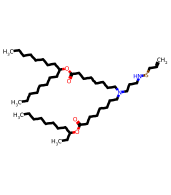 C=CCSNCCCN(CCCCCCCC(=O)OC(CC)CCCCCCCC)CCCCCCCC(=O)OC(CCCCCCCC)CCCCCCCC